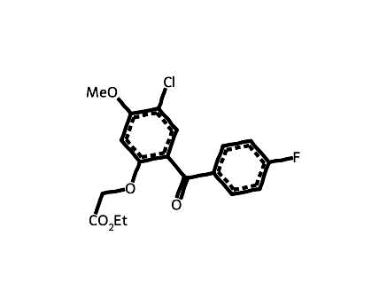 CCOC(=O)COc1cc(OC)c(Cl)cc1C(=O)c1ccc(F)cc1